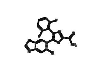 NC(=O)c1nc(-c2c(F)cccc2F)c(-c2cc3ocnc3cc2Cl)s1